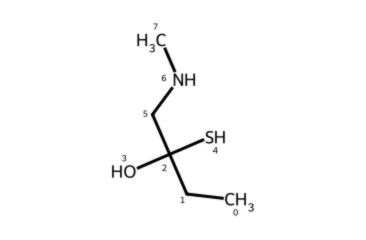 CCC(O)(S)CNC